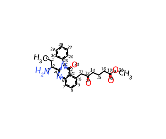 CC[C@H](N)c1nc2cccc(CC(=O)CCCC(=O)OC)c2c(=O)n1-c1ccccc1